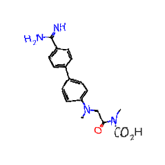 CN(C(=O)O)C(=O)CN(C)c1ccc(-c2ccc(C(=N)N)cc2)cc1